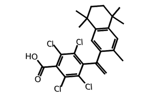 C=C(c1cc2c(cc1C)C(C)(C)CCC2(C)C)c1c(Cl)c(Cl)c(C(=O)O)c(Cl)c1Cl